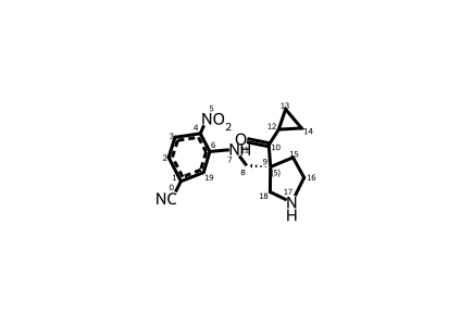 N#Cc1ccc([N+](=O)[O-])c(NC[C@]2(C(=O)C3CC3)CCNC2)c1